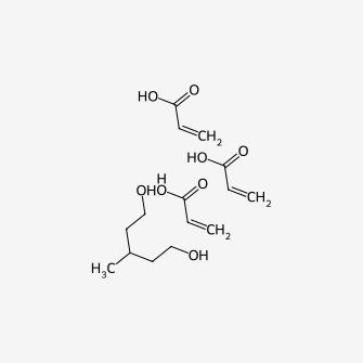 C=CC(=O)O.C=CC(=O)O.C=CC(=O)O.CC(CCO)CCO